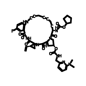 C=C[C@@H]1C[C@@]12NC(=O)[C@@H]1C[C@@H](OC(=O)NCc3cccc(N(C)C)n3)CN1C(=O)[C@@H](NC(=O)OC1CCCC1)CCCCCCCNc1ccc(F)cc1S(=O)(=O)NC2=O